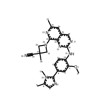 COc1cc(-c2ncc(C)n2C)ccc1Nc1ncc2cc(C)nc(N3CC(C)(C#N)C3)c2n1